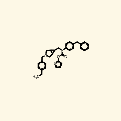 CCc1ccc(CN2CC3C(C2)C3CN(C(=O)Oc2cccs2)c2ccc(Cc3ccccc3)cc2)cc1